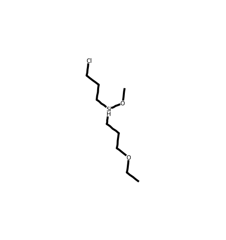 CCOCCC[SiH](CCCCl)OC